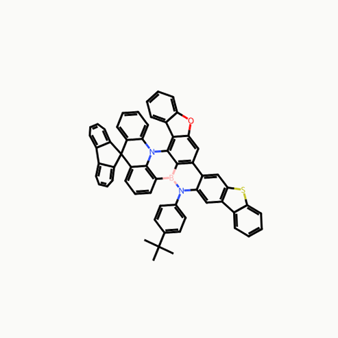 CC(C)(C)c1ccc(N2B3c4cccc5c4N(c4ccccc4C54c5ccccc5-c5ccccc54)c4c3c(cc3oc5ccccc5c43)-c3cc4sc5ccccc5c4cc32)cc1